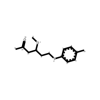 COC(CCSc1ccc(C)cc1)CC(C)=O